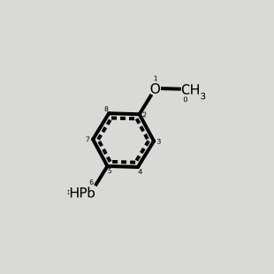 COc1cc[c]([PbH])cc1